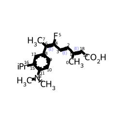 CC(/C=C/C(F)=C(/C)c1ccc(N(C)C)c(C(C)C)c1)=C\C(=O)O